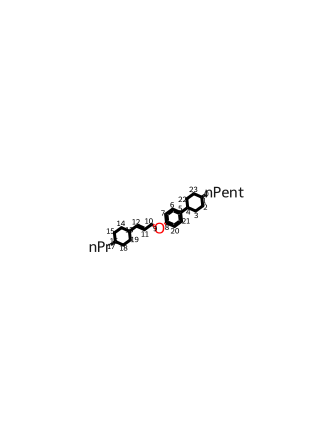 CCCCCC1CCC(c2ccc(OCC=CC3CCC(CCC)CC3)cc2)CC1